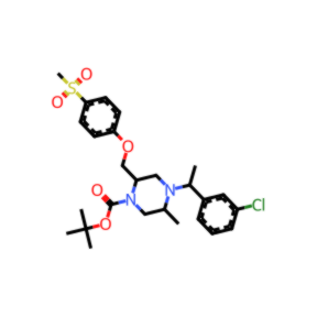 CC1CN(C(=O)OC(C)(C)C)C(COc2ccc(S(C)(=O)=O)cc2)CN1C(C)c1cccc(Cl)c1